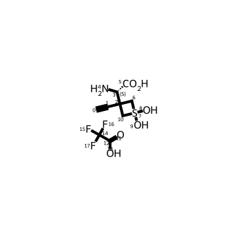 C#CC1([C@H](N)C(=O)O)CS(O)(O)C1.O=C(O)C(F)(F)F